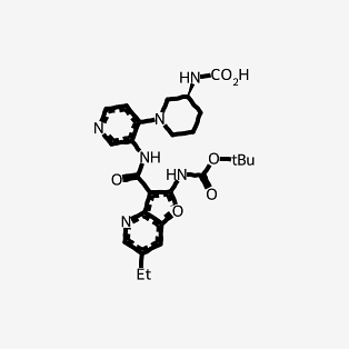 CCc1cnc2c(C(=O)Nc3cnccc3N3CCC[C@H](NC(=O)O)C3)c(NC(=O)OC(C)(C)C)oc2c1